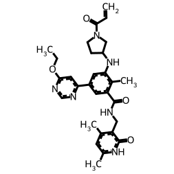 C=CC(=O)N1CCC(Nc2cc(-c3cc(OCC)ncn3)cc(C(=O)NCc3c(C)cc(C)[nH]c3=O)c2C)C1